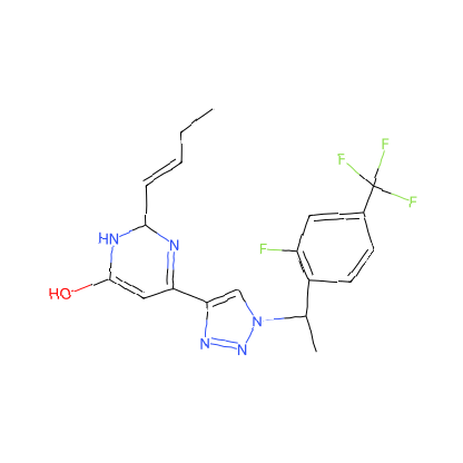 CC/C=C/C1N=C(c2cn(C(C)c3ccc(C(F)(F)F)cc3F)nn2)C=C(O)N1